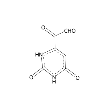 O=CC(=O)c1cc(=O)[nH]c(=O)[nH]1